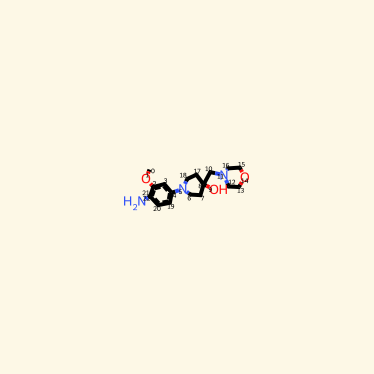 COc1cc(N2CCC(O)(CN3CCOCC3)CC2)ccc1N